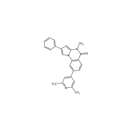 Cc1cc(-c2ccc3c(=O)n(C)c4cc(-c5ccccc5)cn4c3c2)cc(C)n1